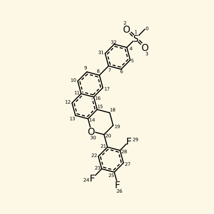 CS(=O)(=O)c1ccc(-c2ccc3ccc4c(c3c2)CCC(c2cc(F)c(F)cc2F)O4)cc1